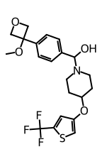 COC1(c2ccc(C(O)N3CCC(Oc4csc(C(F)(F)F)c4)CC3)cc2)COC1